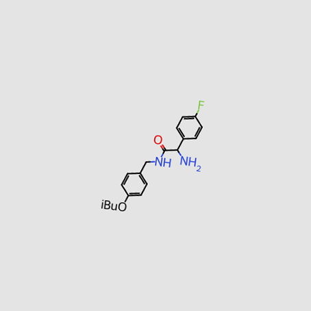 CC(C)COc1ccc(CNC(=O)C(N)c2ccc(F)cc2)cc1